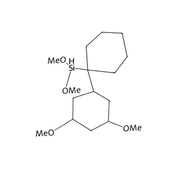 COC1CC(OC)CC(C2([SiH](OC)OC)CCCCC2)C1